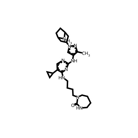 Cc1nn(C2CC3CCC(C2)N3C)cc1Nc1ncc(C2CC2)c(NCCCCN2CCCCNC2=O)n1